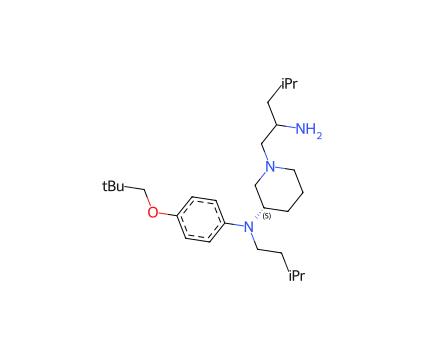 CC(C)CCN(c1ccc(OCC(C)(C)C)cc1)[C@H]1CCCN(CC(N)CC(C)C)C1